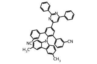 Cc1ccc2c(c1)c1cc(C)ccc1n2-c1c(-c2cccc(C#N)c2)cc(-c2cc(-c3ccccc3)nc(-c3ccccc3)n2)cc1-c1cccc(C#N)c1